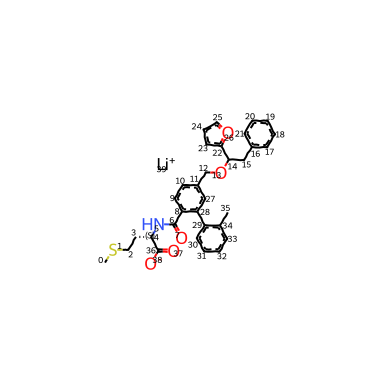 CSCC[C@H](NC(=O)c1ccc(COC(Cc2ccccc2)c2ccco2)cc1-c1ccccc1C)C(=O)[O-].[Li+]